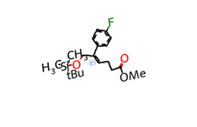 COC(=O)CC/C=C(/CO[Si](C)(C)C(C)(C)C)c1ccc(F)cc1